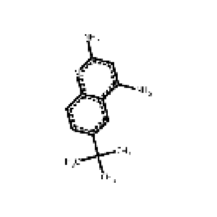 CC(C)(C)c1ccc2nc(N)cc(N)c2c1